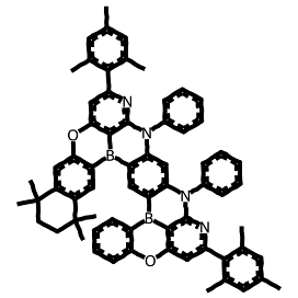 Cc1cc(C)c(-c2cc3c4c(n2)N(c2ccccc2)c2cc5c(cc2B4c2ccccc2O3)B2c3cc4c(cc3Oc3cc(-c6c(C)cc(C)cc6C)nc(c32)N5c2ccccc2)C(C)(C)CCC4(C)C)c(C)c1